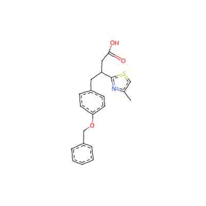 Cc1csc(C(CC(=O)O)Cc2ccc(OCc3ccccc3)cc2)n1